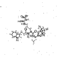 CC(C)C[C@H](NC(=O)[C@H](CCCNC(=N)N[N+](=O)[O-])NC(=O)CCc1c[nH]c2ccccc12)B1O[C@@H]2C[C@@H]3C[C@@H](C3(C)C)[C@]2(C)O1